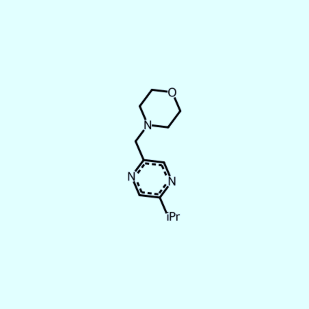 CC(C)c1cnc(CN2CCOCC2)cn1